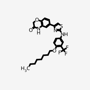 CCCCCCCCOc1ccc(Nc2nc(-c3ccc4c(c3)NC(=O)CO4)cs2)cc1C(F)(F)F